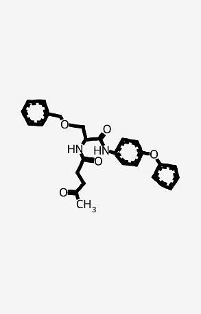 CC(=O)CCC(=O)NC(COCc1ccccc1)C(=O)Nc1ccc(Oc2ccccc2)cc1